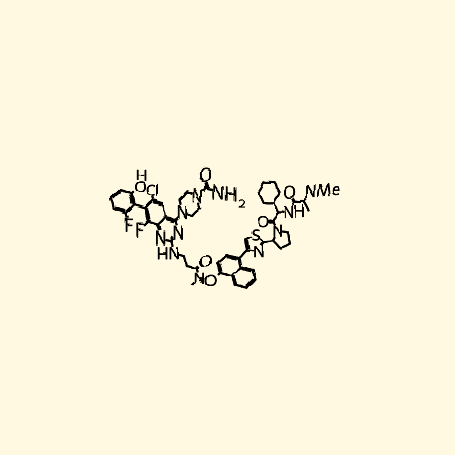 CN[C@@H](C)C(=O)NC(C(=O)N1CCC[C@H]1c1nc(-c2ccc(ON(C)C(=O)CCNc3nc(N4CCN(C(N)=O)CC4)c4cc(Cl)c(-c5c(O)cccc5F)c(F)c4n3)c3ccccc23)cs1)C1CCCCC1